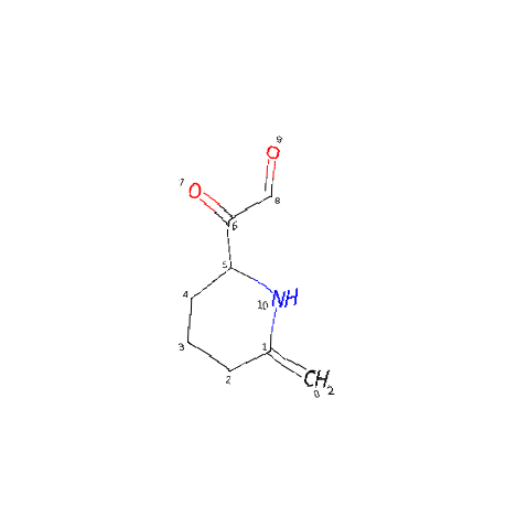 C=C1CCCC(C(=O)C=O)N1